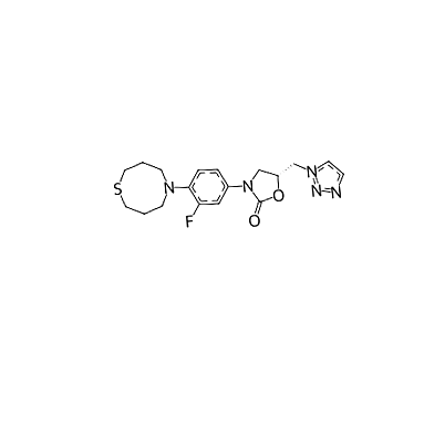 O=C1O[C@@H](Cn2ccnn2)CN1c1ccc(N2CCCSCCC2)c(F)c1